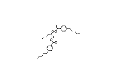 [CH2]CCC[C](OOC(=O)c1ccc(CCCCC)cc1)OOC(=O)c1ccc(CCCCC)cc1